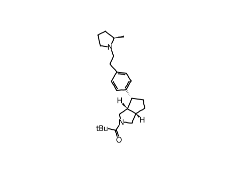 C[C@@H]1CCCN1CCc1ccc([C@@H]2CC[C@@H]3CN(C(=O)C(C)(C)C)C[C@@H]32)cc1